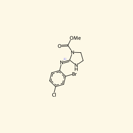 COC(=O)N1CCN/C1=N\c1ccc(Cl)cc1Br